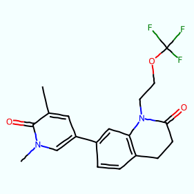 Cc1cc(-c2ccc3c(c2)N(CCOC(F)(F)F)C(=O)CC3)cn(C)c1=O